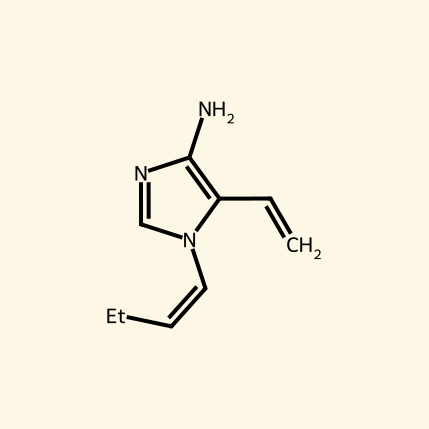 C=Cc1c(N)ncn1/C=C\CC